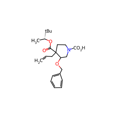 C=CCC1(C(=O)O[C@H](C)C(C)(C)C)CCN(C(=O)O)CC1OCc1ccccc1